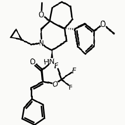 COc1cccc([C@@]23CCCCC2(OC)CN(CC2CC2)[C@H](NC(=O)C(=Cc2ccccc2)OC(F)(F)F)C3)c1